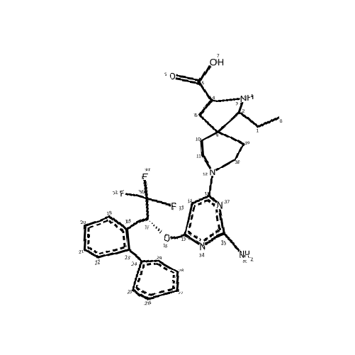 CCC1NC(C(=O)O)CC12CCN(c1cc(O[C@H](c3ccccc3-c3ccccc3)C(F)(F)F)nc(N)n1)CC2